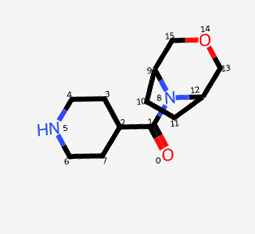 O=C(C1CCNCC1)N1C2CCC1COC2